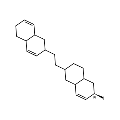 I[C@H]1C=CC2CC(CCC3C=CC4CCC=CC4C3)CCC2C1